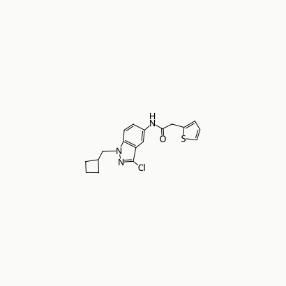 O=C(Cc1cccs1)Nc1ccc2c(c1)c(Cl)nn2CC1CCC1